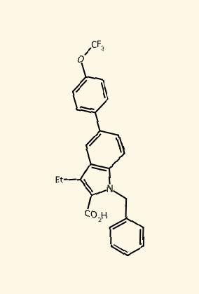 CCc1c(C(=O)O)n(Cc2ccccc2)c2ccc(-c3ccc(OC(F)(F)F)cc3)cc12